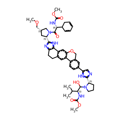 COC[C@H]1C[C@@H](c2nc3c([nH]2)-c2cc4c(cc2CC3)-c2ccc(-c3cnc([C@@H]5CCCN5C(O)[C@@H](NC(=O)OC)C(C)C)[nH]3)cc2CO4)N(C(=O)[C@H](NC(=O)OC)C2C=CC=CC2)C1